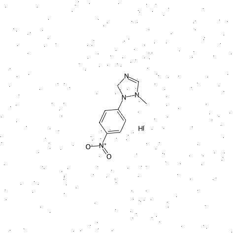 CN1C=NCN1c1ccc([N+](=O)[O-])cc1.I